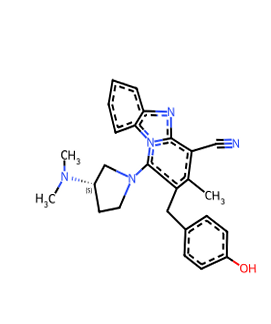 Cc1c(Cc2ccc(O)cc2)c(N2CC[C@H](N(C)C)C2)n2c(nc3ccccc32)c1C#N